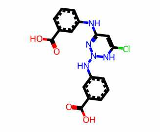 O=C(O)c1cccc(NC2=NN(Nc3cccc(C(=O)O)c3)NC(Cl)=C2)c1